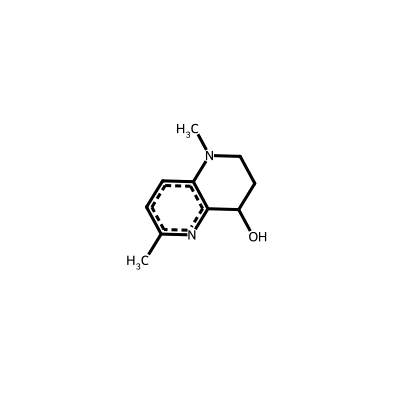 Cc1ccc2c(n1)C(O)CCN2C